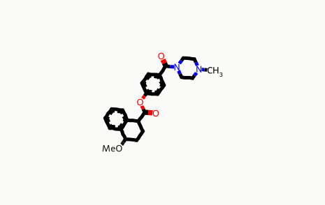 COC1CCC(C(=O)Oc2ccc(C(=O)N3CCN(C)CC3)cc2)c2ccccc21